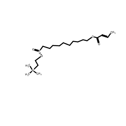 CC=CC(=O)OCCCCCCCCCC[PH](=O)OCC[N+](C)(C)C